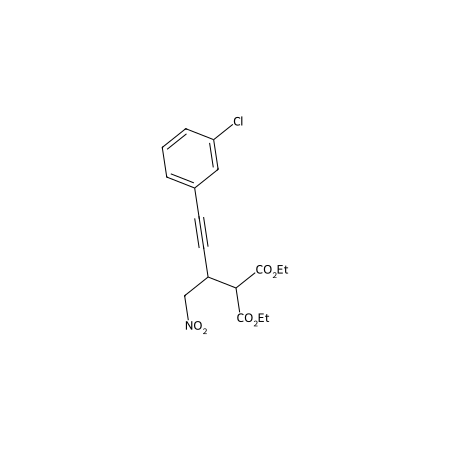 CCOC(=O)C(C(=O)OCC)C(C#Cc1cccc(Cl)c1)C[N+](=O)[O-]